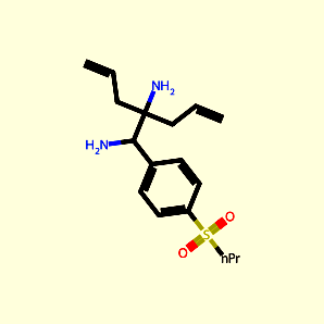 C=CCC(N)(CC=C)C(N)c1ccc(S(=O)(=O)CCC)cc1